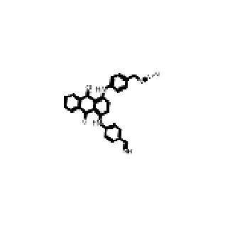 [N-]=[N+]=NCc1ccc(Nc2ccc(Nc3ccc(C=N)cc3)c3c2C(=O)c2ccccc2C3=O)cc1